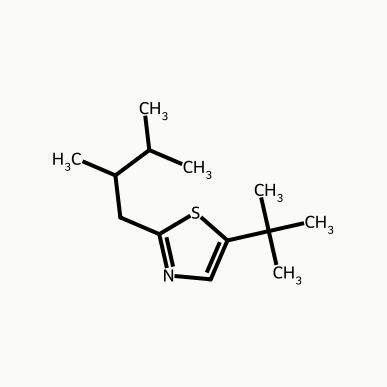 CC(C)C(C)Cc1ncc(C(C)(C)C)s1